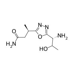 CC(O)[C@@H](N)c1nnc([C@H](C)CC(N)=O)o1